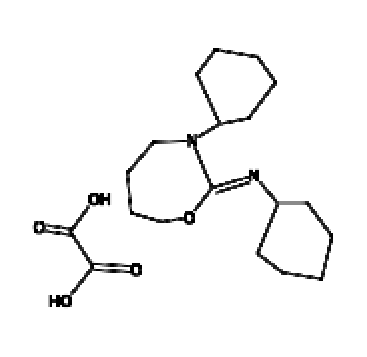 C1CCC(N=C2OCCCCN2C2CCCCC2)CC1.O=C(O)C(=O)O